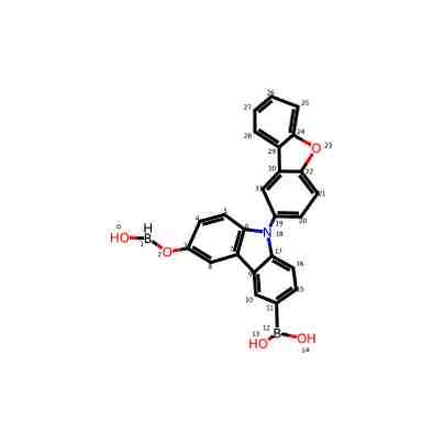 OBOc1ccc2c(c1)c1cc(B(O)O)ccc1n2-c1ccc2oc3ccccc3c2c1